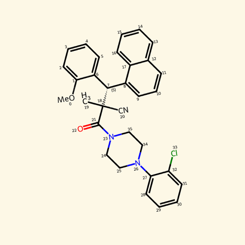 COc1ccccc1[C@H](c1cccc2ccccc12)C(C)(C#N)C(=O)N1CCN(c2ccccc2Cl)CC1